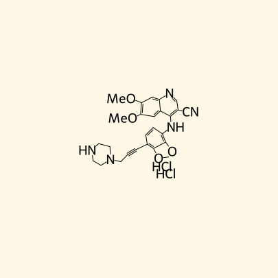 COc1cc2ncc(C#N)c(Nc3ccc(C#CCN4CCNCC4)c4c3OCO4)c2cc1OC.Cl.Cl